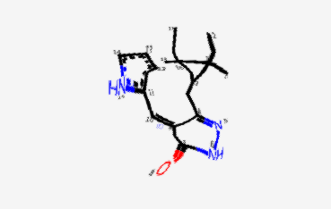 CC1(C)C(C2=NNC(=O)/C2=C/c2ccc[nH]2)C1(C)C